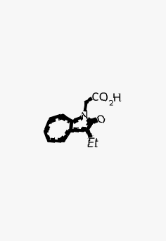 CCc1c2cccccc-2n(CC(=O)O)c1=O